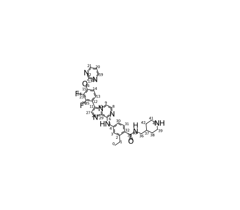 CCc1cc(Nc2nccn3c(-c4ccc(Oc5ncccn5)c(F)c4F)cnc23)ccc1C(=O)NCC1CCNCC1